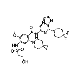 COc1cc(C(=O)Nc2cn3ccnc3c(N3CCC(F)(F)CC3)n2)c(N2CCC3(CC2)CC3)cc1NS(=O)(=O)CCO